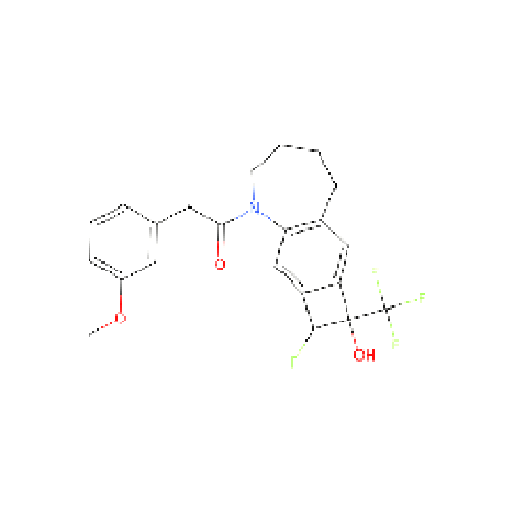 COc1cccc(CC(=O)N2CCCCc3cc4c(cc32)C(F)C4(O)C(F)(F)F)c1